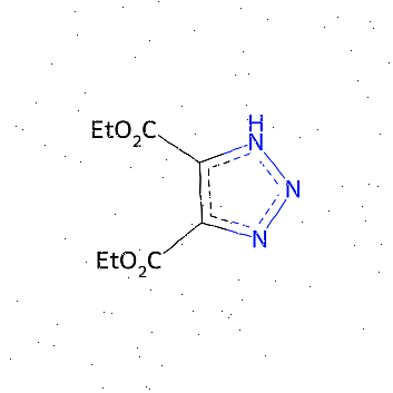 CCOC(=O)c1nn[nH]c1C(=O)OCC